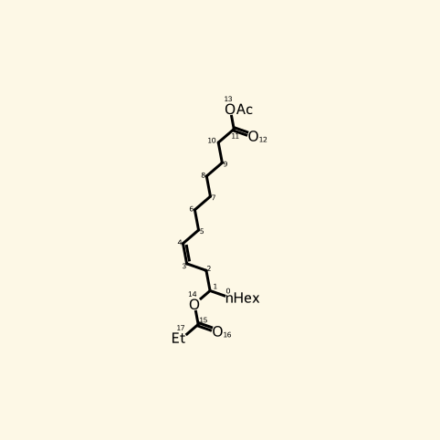 CCCCCCC(C/C=C\CCCCCCC(=O)OC(C)=O)OC(=O)CC